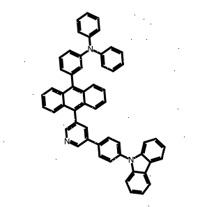 c1ccc(N(c2ccccc2)c2cccc(-c3c4ccccc4c(-c4cncc(-c5ccc(-n6c7ccccc7c7ccccc76)cc5)c4)c4ccccc34)c2)cc1